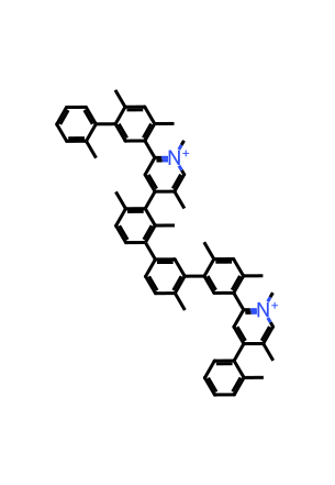 Cc1ccccc1-c1cc(-c2cc(-c3c(C)ccc(-c4ccc(C)c(-c5cc(-c6cc(-c7ccccc7C)c(C)c[n+]6C)c(C)cc5C)c4)c3C)c(C)c[n+]2C)c(C)cc1C